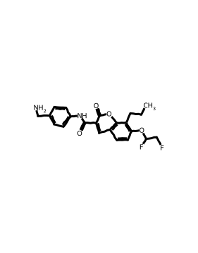 CCCc1c(OC(F)CF)ccc2cc(C(=O)Nc3ccc(CN)cc3)c(=O)oc12